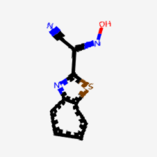 N#C/C(=N\O)c1nc2ccccc2s1